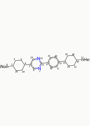 CCCCCCCCCC1CCC(c2cnc(-c3ccc(C4CCC(CCCCCC)CC4)cc3)nc2)CC1